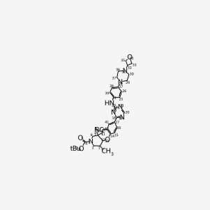 CC1CN(C(=O)OC(C)(C)C)CC(F)(F)C1Oc1ccc(-c2ncnc(Nc3ccc(N4CCN(C5COC5)CC4)cc3)n2)cc1C#N